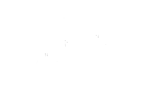 CC(C)(C)N1CCCC[C@@H](Nc2c(Cl)cccc2[N+](=O)[O-])C1